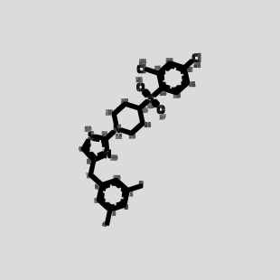 Cc1cc(C)cc(Cc2csc(N3CCC(S(=O)(=O)c4ccc(Cl)cc4Cl)CC3)n2)c1